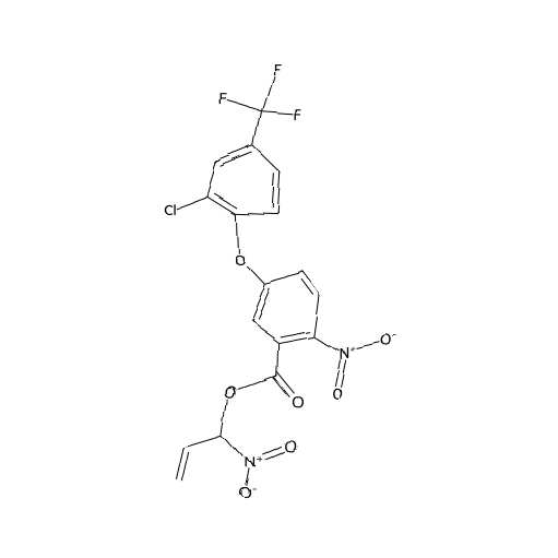 C=CC(OC(=O)c1cc(Oc2ccc(C(F)(F)F)cc2Cl)ccc1[N+](=O)[O-])[N+](=O)[O-]